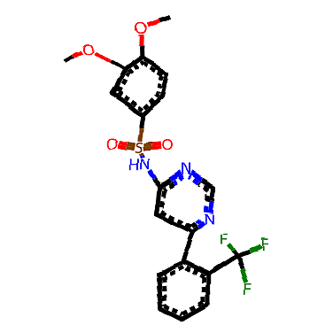 COc1ccc(S(=O)(=O)Nc2cc(-c3ccccc3C(F)(F)F)ncn2)cc1OC